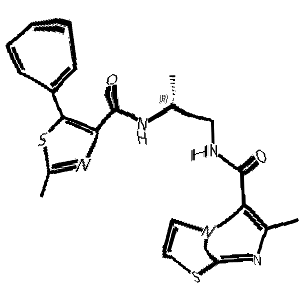 Cc1nc(C(=O)N[C@H](C)CNC(=O)c2c(C)nc3sccn23)c(-c2ccccc2)s1